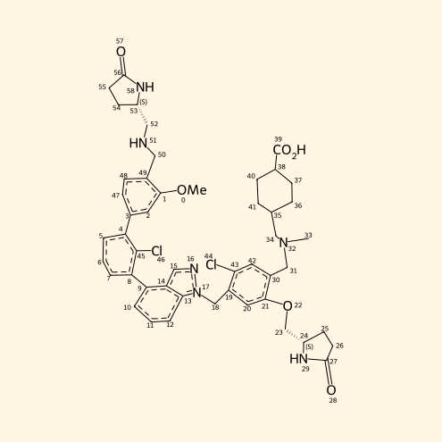 COc1cc(-c2cccc(-c3cccc4c3cnn4Cc3cc(OC[C@@H]4CCC(=O)N4)c(CN(C)CC4CCC(C(=O)O)CC4)cc3Cl)c2Cl)ccc1CNC[C@@H]1CCC(=O)N1